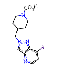 O=C(O)N1CCC(Cn2cc3nccc(I)c3n2)CC1